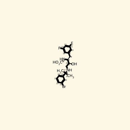 CC(C)(NC[C@H](O)[C@H](Cc1cc(F)cc(F)c1)NC(=O)O)c1cccc(Br)c1